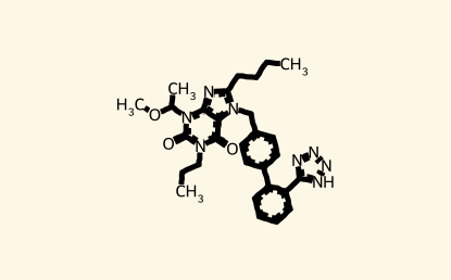 CCCCc1nc2c(c(=O)n(CCC)c(=O)n2C(C)OC)n1Cc1ccc(-c2ccccc2-c2nnn[nH]2)cc1